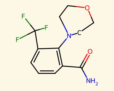 NC(=O)c1cccc(C(F)(F)F)c1N1CCOCC1